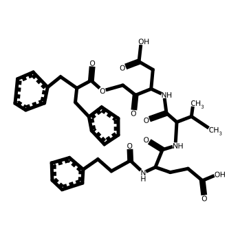 CC(C)C(NC(=O)C(CCC(=O)O)NC(=O)CCc1ccccc1)C(=O)NC(CC(=O)O)C(=O)COC(=O)C(Cc1ccccc1)Cc1ccccc1